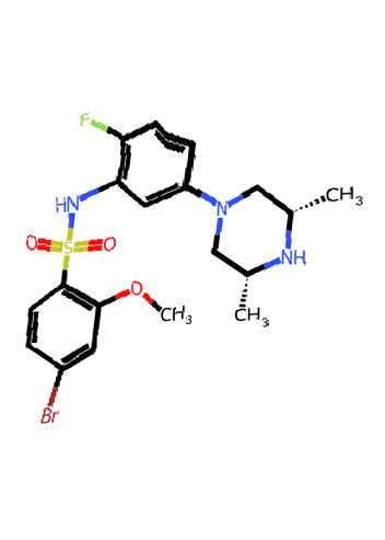 COc1cc(Br)ccc1S(=O)(=O)Nc1cc(N2C[C@@H](C)N[C@@H](C)C2)ccc1F